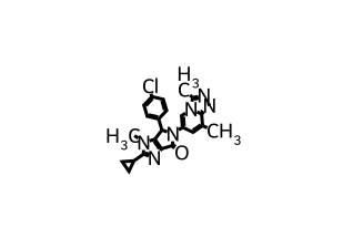 Cc1cc(N2C(=O)c3nc(C4CC4)n(C)c3C2c2ccc(Cl)cc2)cn2c(C)nnc12